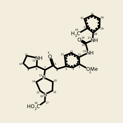 COc1cc(CC(=O)C(C2CCCN2)N2CCN(CC(=O)O)CC2)ccc1NC(=O)Nc1ccccc1C